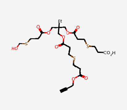 C#CCOC(=O)CCSCCC(=O)OCC(CC)(COC(=O)CCSCO)COC(=O)CCSCCC(=O)O